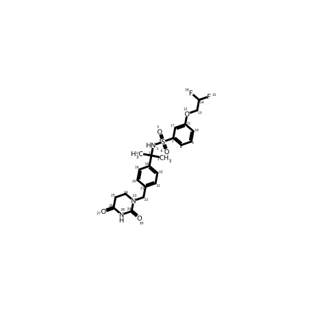 CC(C)(NS(=O)(=O)c1cccc(OCC(F)F)c1)c1ccc(CN2CCC(=O)NC2=O)cc1